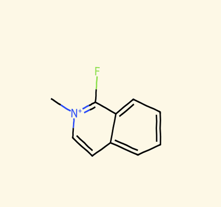 C[n+]1ccc2ccccc2c1F